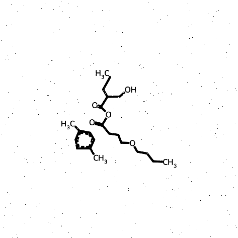 CCCCOCCCC(=O)OC(=O)C(CO)CCC.Cc1ccc(C)cc1